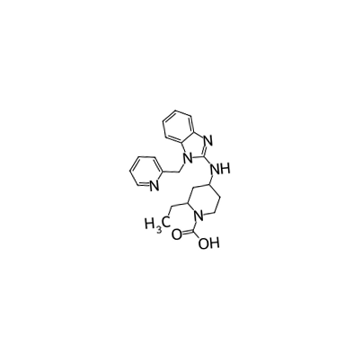 CCC1CC(Nc2nc3ccccc3n2Cc2ccccn2)CCN1C(=O)O